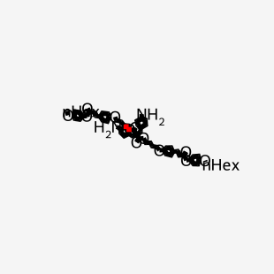 CCCCCCOc1ccc(OC(=O)C=Cc2ccc(OCCCCOC(=O)C(Cc3ccc(N)cc3)(Cc3ccc(N)cc3)C(=O)OCCCCOc3ccc(C=CC(=O)Oc4ccc(OCCCCCC)cc4)cc3)cc2)cc1